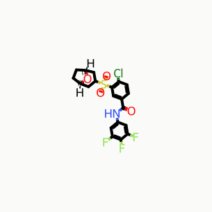 O=C(Nc1cc(F)c(F)c(F)c1)c1ccc(Cl)c(S(=O)(=O)C2C[C@H]3CC[C@@H](C2)O3)c1